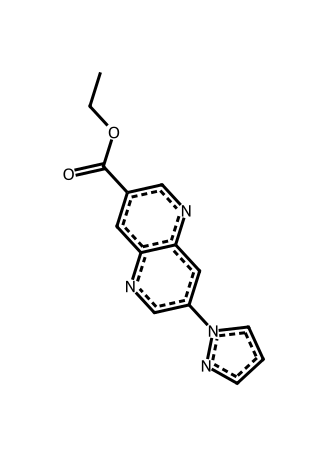 CCOC(=O)c1cnc2cc(-n3cccn3)cnc2c1